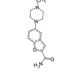 CN1CCN(c2ccc3oc(C(N)=O)cc3c2)CC1